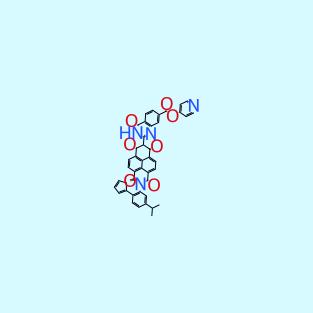 CC(C)c1ccc(C2=CC=CC2)c(N2C(=O)c3ccc4c5c(ccc(c35)C2=O)C(=O)C(c2nc3cc(C(=O)Oc5ccncc5)ccc3c(=O)[nH]2)C4=O)c1